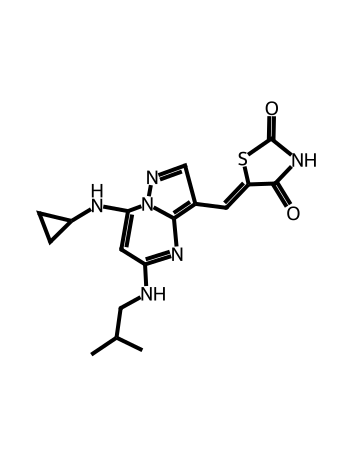 CC(C)CNc1cc(NC2CC2)n2ncc(C=C3SC(=O)NC3=O)c2n1